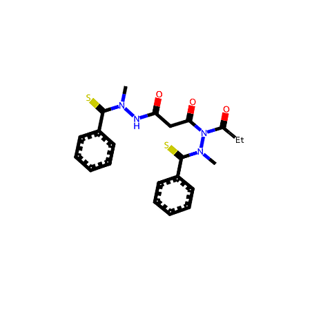 CCC(=O)N(C(=O)CC(=O)NN(C)C(=S)c1ccccc1)N(C)C(=S)c1ccccc1